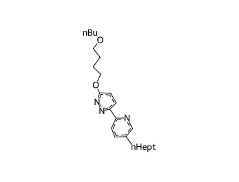 CCCCCCCc1ccc(-c2ccc(OCCCCOCCCC)nn2)nc1